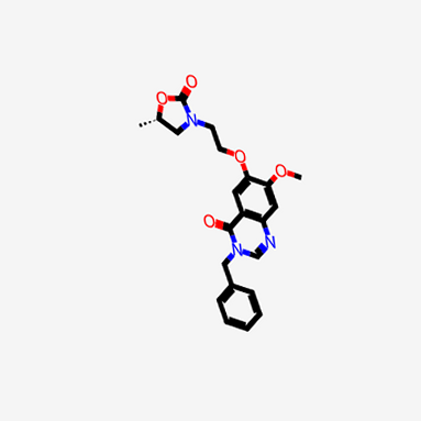 COc1cc2ncn(Cc3ccccc3)c(=O)c2cc1OCCN1C[C@H](C)OC1=O